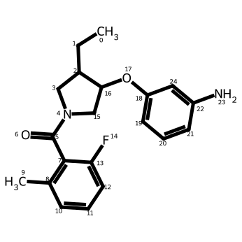 CCC1CN(C(=O)c2c(C)cccc2F)CC1Oc1cccc(N)c1